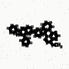 CCC(/C=C\Cn1c2c(c3cc(-c4ccc5c(c4)C(c4ccccc4)NC(c4ccccc4)=N5)ccc31)C=CCC=C2)c1ccccc1